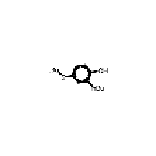 CCCCc1cc(SC(C)(C)C)ccc1O